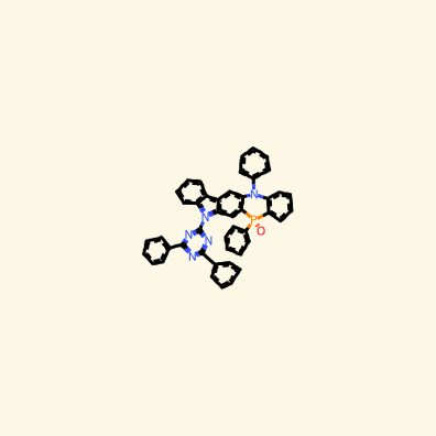 O=P1(c2ccccc2)c2ccccc2N(c2ccccc2)c2cc3c4ccccc4n(-c4nc(-c5ccccc5)nc(-c5ccccc5)n4)c3cc21